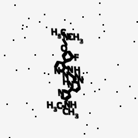 CC(C)Nc1cncc(-c2ccc3n[nH]c(-c4nc5c(-c6cc(F)cc(OCCN(C)C)c6)ccnc5[nH]4)c3n2)c1